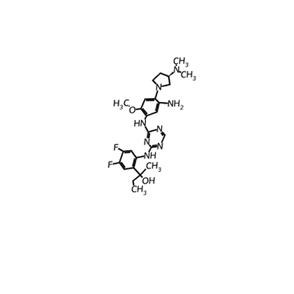 CCC(C)(O)c1cc(F)c(F)cc1Nc1ncnc(Nc2cc(N)c(N3CC[C@@H](N(C)C)C3)cc2OC)n1